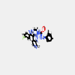 O=C(Nc1ccccc1)N1CCn2nc(-c3ccc(F)cc3)c(-c3ccncc3)c2N1